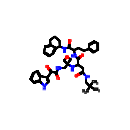 CC(C)(C)CNC(=O)CC(NC1(CNC(=O)C(=O)c2c[nH]c3ccccc23)COC1)C(=O)NC(CCc1ccccc1)C(=O)N[C@@H]1CCCc2ccccc21